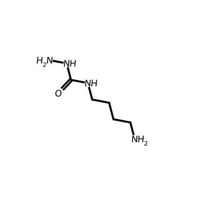 NCCCCNC(=O)NN